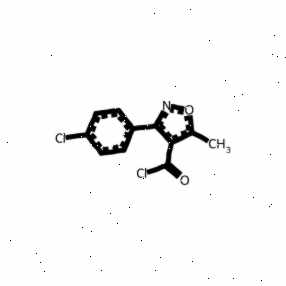 Cc1onc(-c2ccc(Cl)cc2)c1C(=O)Cl